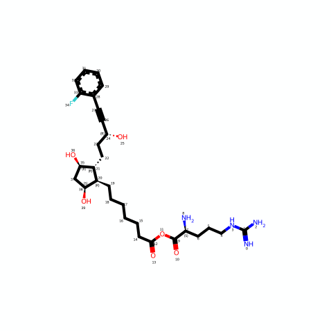 N=C(N)NCCC[C@H](N)C(=O)OC(=O)CCCCCC[C@@H]1[C@@H](CC[C@@H](O)C#Cc2ccccc2F)[C@H](O)C[C@@H]1O